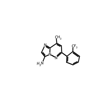 Cc1cc(-c2ccccc2C(F)(F)F)nn2c(N)cnc12